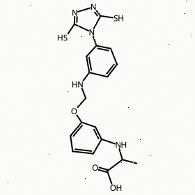 CC(Nc1cccc(OCNc2cccc(-n3c(S)nnc3S)c2)c1)C(=O)O